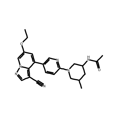 CCOc1cc(-c2ccc(N3CC(C)CC(NC(C)=O)C3)nc2)c2c(C#N)cnn2c1